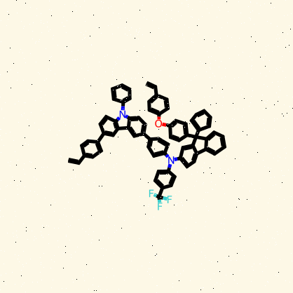 C=Cc1ccc(Oc2ccc(C3(c4ccccc4)c4ccccc4-c4ccc(N(c5ccc(-c6ccc7c(c6)c6cc(-c8ccc(C=C)cc8)ccc6n7-c6ccccc6)cc5)c5ccc(C(F)(F)F)cc5)cc43)cc2)cc1